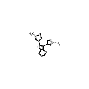 Cn1cc(-c2oc3cccnc3c2-c2cnn(C)c2)cn1